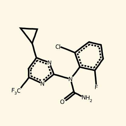 NC(=O)N(c1nc(C2CC2)cc(C(F)(F)F)n1)c1c(F)cccc1Cl